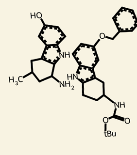 CC(C)(C)OC(=O)NC1CCc2[nH]c3ccc(OCc4ccccc4)cc3c2C1.CC1Cc2c([nH]c3ccc(O)cc23)C(N)C1